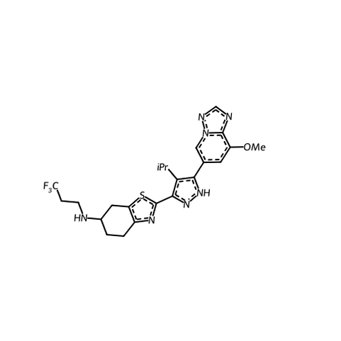 COc1cc(-c2[nH]nc(-c3nc4c(s3)CC(NCCC(F)(F)F)CC4)c2C(C)C)cn2ncnc12